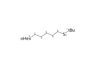 CCCCCCCCCCCSC(C)(C)C